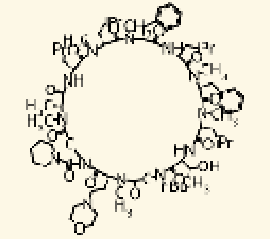 CCCCN1CC(=O)N(C)[C@@H](CCN2CCOCC2)C(=O)N[C@H](C(=O)N2CCCCC2)CC(=O)N(C)[C@@H](C)C(=O)N[C@@H](CC(C)C)C(=O)N(C)[C@@H](CC(C)C)C(=O)N(C)[C@@H](Cc2ccccc2)C(=O)N[C@@H](CC(C)C)C(=O)N(C)[C@@H](Cc2ccccc2)C(=O)N(C)[C@@H](CC(C)C)C(=O)N[C@@H]([C@@H](C)O)C1=O